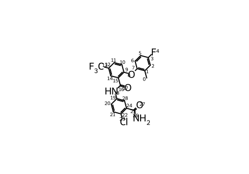 Cc1cc(F)ccc1Oc1ccc(C(F)(F)F)cc1C(=O)Nc1ccc(Cl)c(C(N)=O)c1